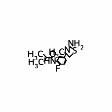 CCC(CC)C(=O)Nc1cc(C2(C)CCSC(N)=N2)ccc1F